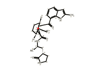 Cc1cc2cccc(C(=O)N3[C@H]4CC[C@@H]([C@@H]3C(=O)N[C@H](C#N)C[C@@H]3CCNC3=O)C(F)(F)C4)c2[nH]1